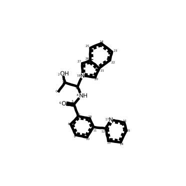 CC(O)C(NC(=O)c1cccc(-c2ccccn2)c1)n1cc2ccccc2c1